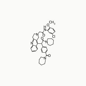 COc1ccc(Cl)cc1NC(=O)CN1CCc2nc3ccccc3c(C(C(=O)N3CCCCCC3)c3ccc(C(=O)N4CCCCCC4)cc3)c2C1